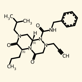 C#CCN1CC(=O)N2[C@@H](CCC)C(=O)N(CC(C)C)C[C@@H]2N1C(=O)NCc1ccccc1